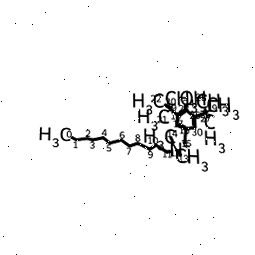 CCCCCCCCCCCC[N+](C)(C)Cc1cc(C(C)(C)C)c(O)c(C(C)(C)C)c1